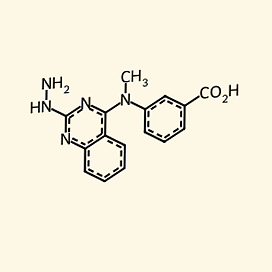 CN(c1cccc(C(=O)O)c1)c1nc(NN)nc2ccccc12